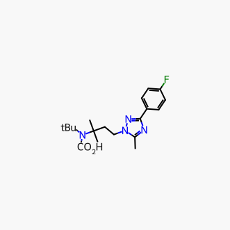 Cc1nc(-c2ccc(F)cc2)nn1CCC(C)(C)N(C(=O)O)C(C)(C)C